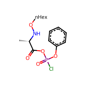 CCCCCCON[C@@H](C)C(=O)OP(=O)(Cl)Oc1ccccc1